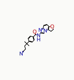 CC(C)(CCC#N)c1ccc(C(=O)Nc2cn3c4c(ccc3n2)OCC4)cc1